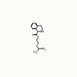 CC(N)OCCOC(=O)C1NCCc2ccccc21